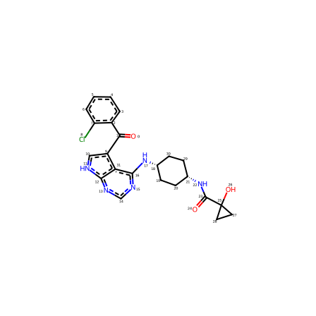 O=C(c1ccccc1Cl)c1c[nH]c2ncnc(N[C@H]3CC[C@@H](NC(=O)C4(O)CC4)CC3)c12